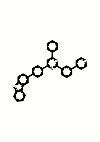 c1ccc(-c2cc(-c3ccc(-c4ccc5oc6ccccc6c5c4)cc3)nc(-c3cccc(-c4ccncc4)c3)n2)cc1